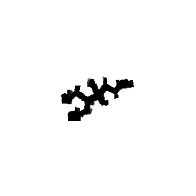 CC(C)(C)C[C]C(C)(C)C(CC(C)(C)C)CC(C)(C)C